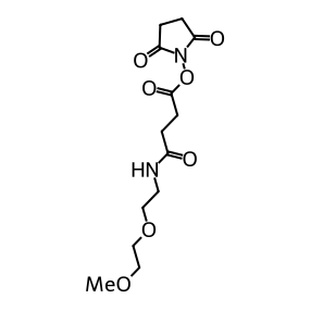 COCCOCCNC(=O)CCC(=O)ON1C(=O)CCC1=O